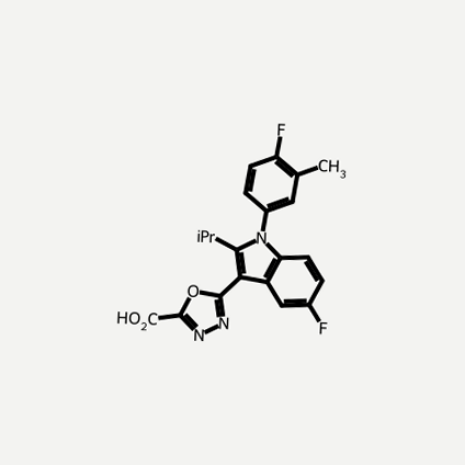 Cc1cc(-n2c(C(C)C)c(-c3nnc(C(=O)O)o3)c3cc(F)ccc32)ccc1F